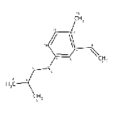 C=Cc1cc(SCC(C)C)ccc1C